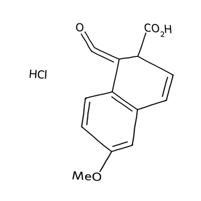 COc1ccc2c(c1)C=CC(C(=O)O)C2=C=O.Cl